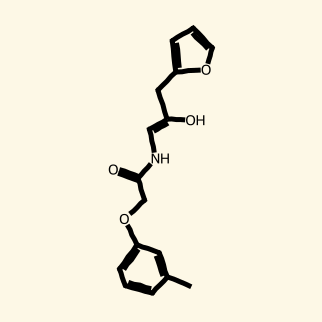 Cc1cccc(OCC(=O)N/C=C(\O)Cc2ccco2)c1